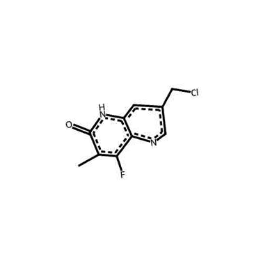 Cc1c(F)c2ncc(CCl)cc2[nH]c1=O